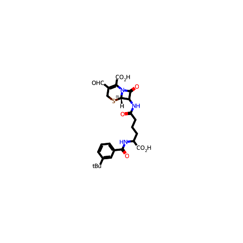 CC(C)(C)c1cccc(C(=O)NC(CCCC(=O)NC2C(=O)N3C(C(=O)O)=C(C=O)CS[C@@H]23)C(=O)O)c1